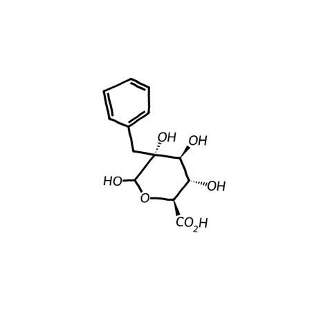 O=C(O)[C@H]1OC(O)[C@@](O)(Cc2ccccc2)[C@@H](O)[C@@H]1O